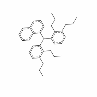 CCCc1cccc(P(c2cccc(CCC)c2CCC)c2cccc3ccccc23)c1CCC